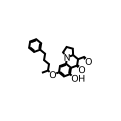 CC(CCCc1ccccc1)Oc1cc(O)c2c(c1)N1CCCC1C(C=O)C2=O